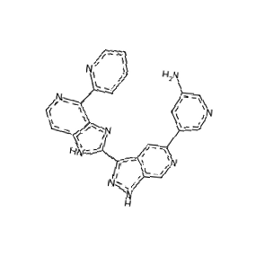 Nc1cncc(-c2cc3c(-c4nc5c(-c6ccccn6)nccc5[nH]4)n[nH]c3cn2)c1